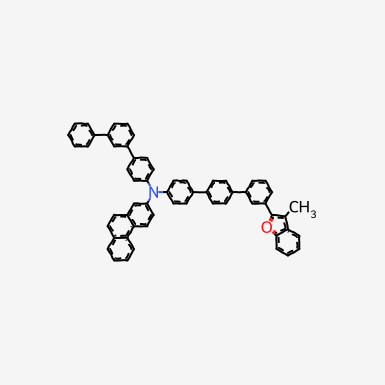 Cc1c(-c2cccc(-c3ccc(-c4ccc(N(c5ccc(-c6cccc(-c7ccccc7)c6)cc5)c5ccc6c(ccc7ccccc76)c5)cc4)cc3)c2)oc2ccccc12